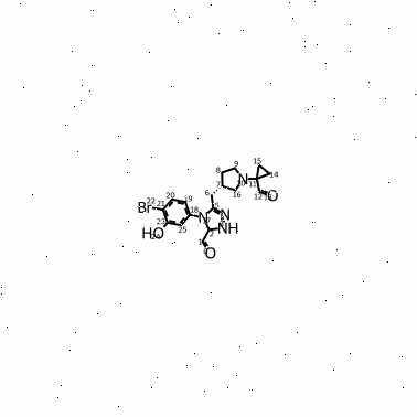 O=CC1NN=C(C[C@@H]2CCN(C3(C=O)CC3)C2)N1c1ccc(Br)c(O)c1